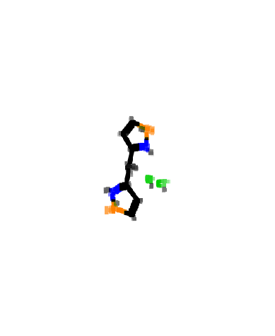 [Cl-].[Cl-].c1c[c]([Zr+2][c]2cc[pH]n2)n[pH]1